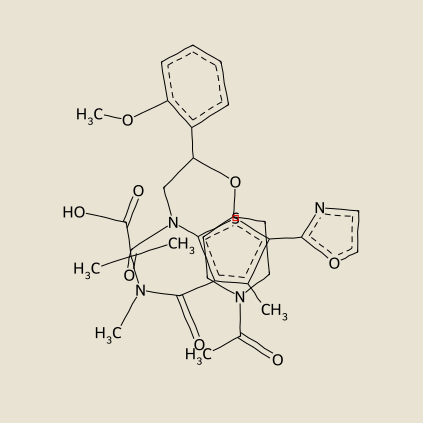 COc1ccccc1C(CN(C=O)c1sc(-c2ncco2)c(C)c1C(=O)N(C)C(C)(C)C(=O)O)OC1CCN(C(C)=O)CC1